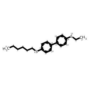 CCCCCCSc1ccc(-c2ccc(SCC)cc2)cc1